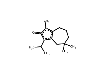 CC(C)n1c2c(n(C)c1=O)CCCC(C)(C)C2